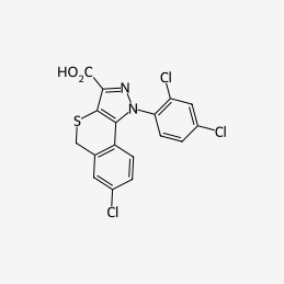 O=C(O)c1nn(-c2ccc(Cl)cc2Cl)c2c1SCc1cc(Cl)ccc1-2